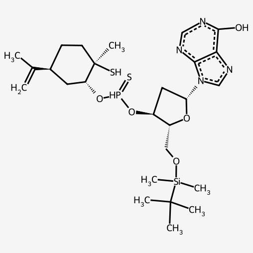 C=C(C)[C@H]1CC[C@@](C)(S)[C@H](O[PH](=S)O[C@H]2C[C@H](n3cnc4c(O)ncnc43)O[C@@H]2CO[Si](C)(C)C(C)(C)C)C1